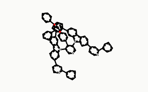 N#Cc1ccc(-c2c(-n3c4cc(-c5ccnc(-c6ccccc6)c5)ccc4c4ccc(-c5ccnc(-c6ccccc6)c5)cc43)cncc2-n2c3cc(-c4ccnc(-c5ccccc5)c4)ccc3c3ccc(-c4ccnc(-c5ccccc5)c4)cc32)cc1